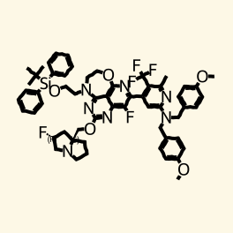 COc1ccc(CN(Cc2ccc(OC)cc2)c2cc(-c3nc4c5c(nc(OC[C@@]67CCCN6C[C@H](F)C7)nc5c3F)N(CCO[Si](c3ccccc3)(c3ccccc3)C(C)(C)C)CCO4)c(C(F)(F)F)c(C)n2)cc1